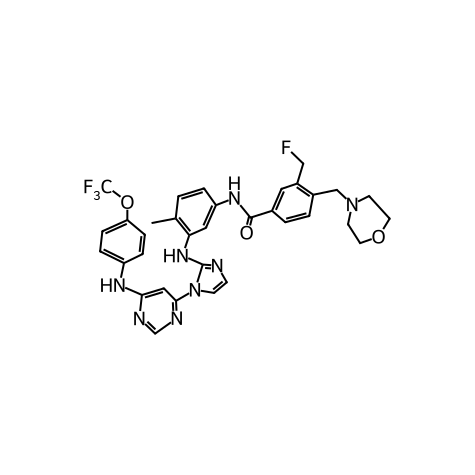 Cc1ccc(NC(=O)c2ccc(CN3CCOCC3)c(CF)c2)cc1Nc1nccn1-c1cc(Nc2ccc(OC(F)(F)F)cc2)ncn1